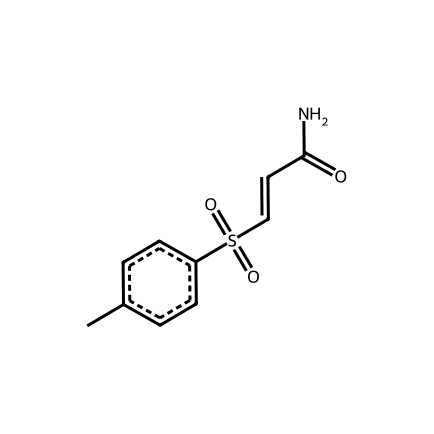 Cc1ccc(S(=O)(=O)/C=C/C(N)=O)cc1